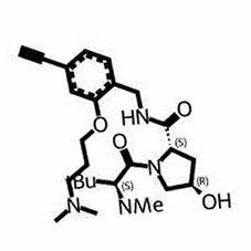 C#Cc1ccc(CNC(=O)[C@@H]2C[C@@H](O)CN2C(=O)[C@@H](NC)C(C)(C)C)c(OCCCN(C)C)c1